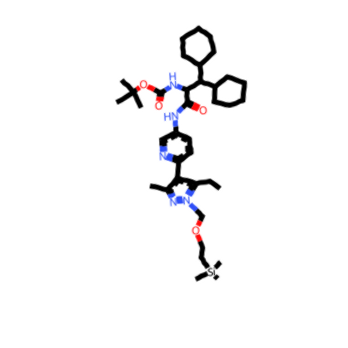 CCc1c(-c2ccc(NC(=O)C(NC(=O)OC(C)(C)C)C(C3CCCCC3)C3CCCCC3)cn2)c(C)nn1COCC[Si](C)(C)C